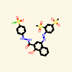 CS(=O)(=O)c1ccc(N=Nc2cc(C(=O)NNc3ccc(S(=O)(=O)Cl)cc3)c(O)c3ccccc23)c(S(C)(=O)=O)c1